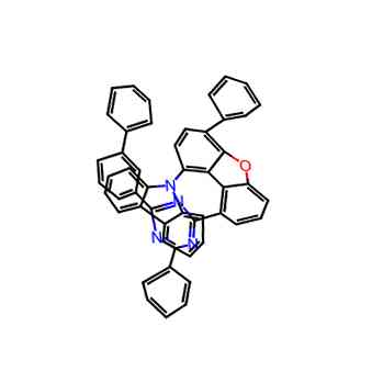 c1ccc(-c2cccc(-c3nc(-c4ccccc4)nc(-c4cccc5oc6c(-c7ccccc7)ccc(-n7c8ccccc8c8ccccc87)c6c45)n3)c2)cc1